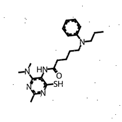 CCCN(CCCCC(=O)Nc1c(S)nc(C)nc1N(C)C)c1ccccc1